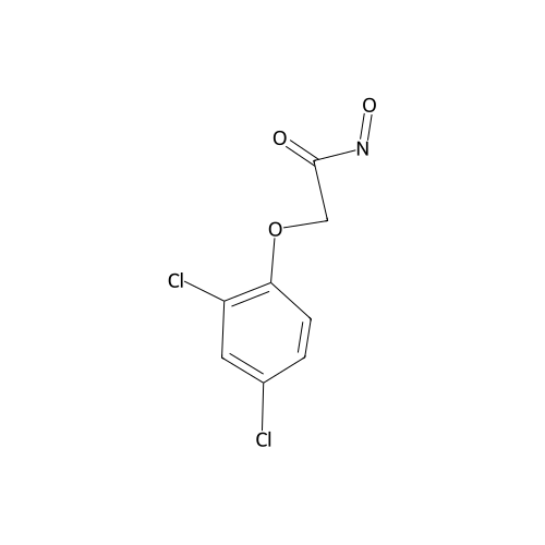 O=NC(=O)COc1ccc(Cl)cc1Cl